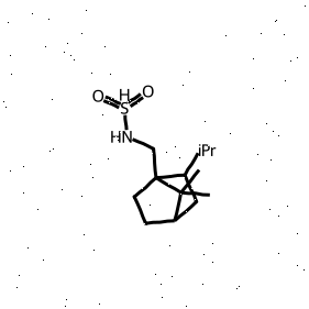 CC(C)C1CC2CCC1(CN[SH](=O)=O)C2(C)C